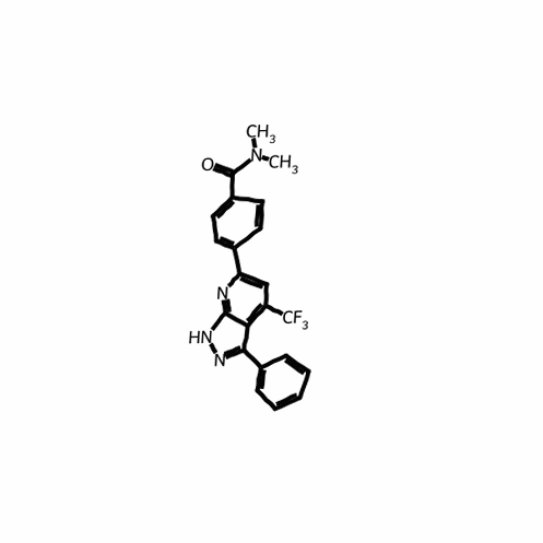 CN(C)C(=O)c1ccc(-c2cc(C(F)(F)F)c3c(-c4ccccc4)n[nH]c3n2)cc1